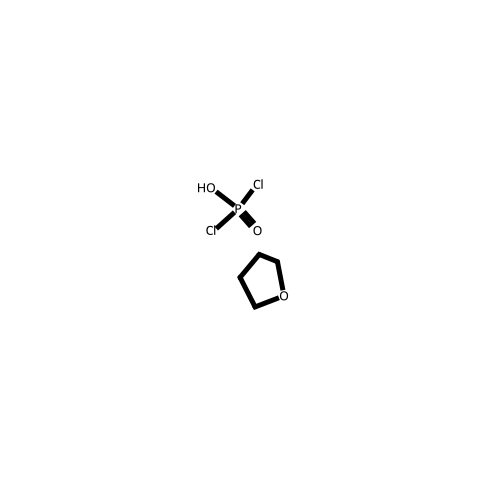 C1CCOC1.O=P(O)(Cl)Cl